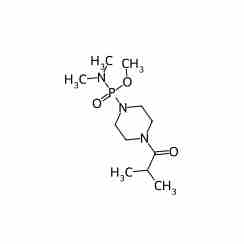 COP(=O)(N(C)C)N1CCN(C(=O)C(C)C)CC1